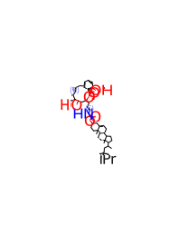 CC(C)CCCC(C)C1CCC2C3CC=C4CC(OC(=O)N/C=C/CC5CC(O)C(C)C/C=C/Cc6cccc(O)c6C(=O)O5)CCC4(C)C3CCC12C